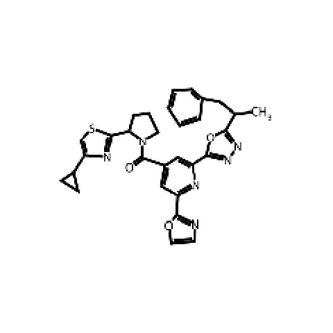 CC(Cc1ccccc1)c1nnc(-c2cc(C(=O)N3CCCC3c3nc(C4CC4)cs3)cc(-c3ncco3)n2)o1